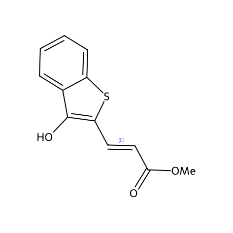 COC(=O)/C=C/c1sc2ccccc2c1O